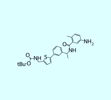 Cc1ccc(N)cc1C(=O)NC(C)c1cccc(-c2ccc(CNC(=O)OC(C)(C)C)s2)c1